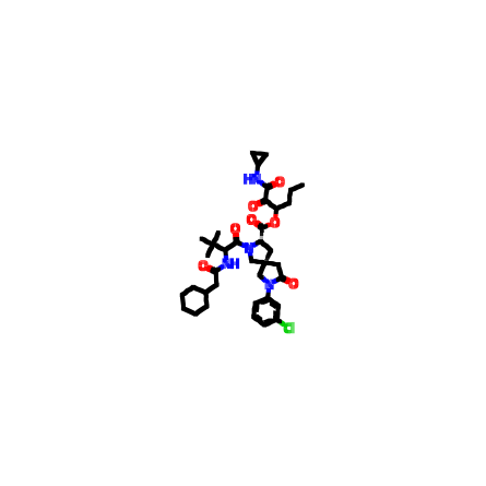 CCCC(OC(=O)[C@@H]1C[C@]2(CC(=O)N(c3cccc(Cl)c3)C2)CN1C(=O)C(NC(=O)CC1CCCCC1)C(C)(C)C)C(=O)C(=O)NC1CC1